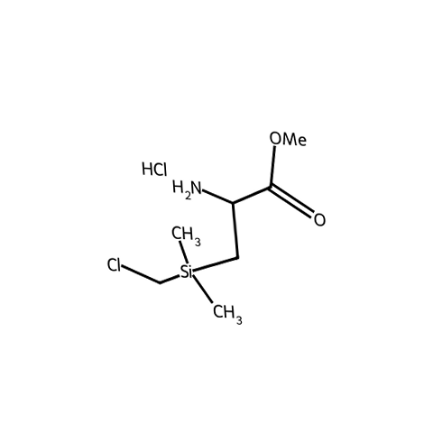 COC(=O)C(N)C[Si](C)(C)CCl.Cl